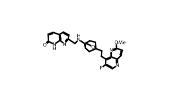 COc1ccc2ncc(F)c(CCC34CCC(NCc5ccc6ccc(=O)[nH]c6n5)(CC3)CO4)c2n1